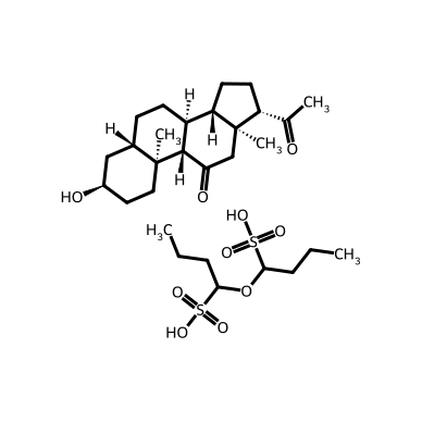 CC(=O)[C@H]1CC[C@H]2[C@@H]3CC[C@H]4C[C@H](O)CC[C@]4(C)[C@H]3C(=O)C[C@]12C.CCCC(OC(CCC)S(=O)(=O)O)S(=O)(=O)O